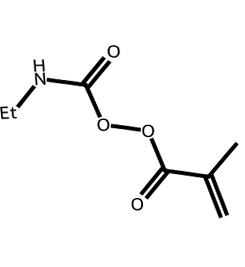 C=C(C)C(=O)OOC(=O)NCC